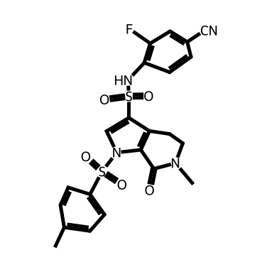 Cc1ccc(S(=O)(=O)n2cc(S(=O)(=O)Nc3ccc(C#N)cc3F)c3c2C(=O)N(C)CC3)cc1